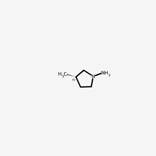 C[C@H]1CCN(N)C1